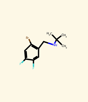 CC(C)(C)NCc1cc(F)c(F)cc1Br